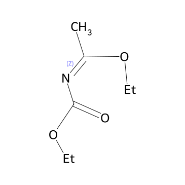 CCOC(=O)/N=C(/C)OCC